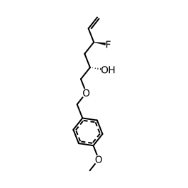 C=C[C@@H](F)C[C@H](O)COCc1ccc(OC)cc1